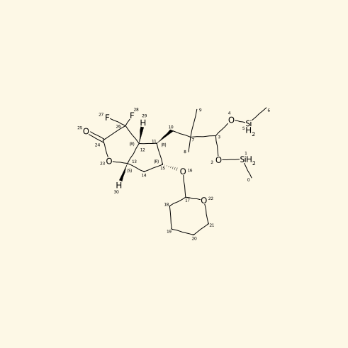 C[SiH2]OC(O[SiH2]C)C(C)(C)C[C@@H]1[C@@H]2[C@H](C[C@H]1OC1CCCCO1)OC(=O)C2(F)F